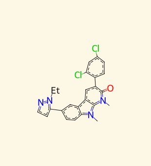 CCn1nccc1-c1ccc2c(c1)c1cc(-c3ccc(Cl)cc3Cl)c(=O)n(C)c1n2C